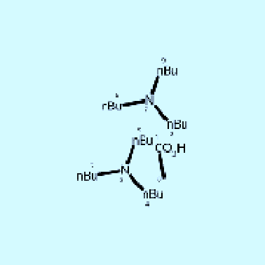 CC(=O)O.CCCCN(CCCC)CCCC.CCCCN(CCCC)CCCC